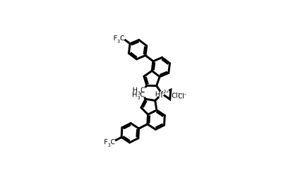 CC1=Cc2c(-c3ccc(C(F)(F)F)cc3)cccc2[CH]1[Hf+2]1([CH]2C(C)=Cc3c(-c4ccc(C(F)(F)F)cc4)cccc32)[CH2][CH2]1.[Cl-].[Cl-]